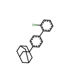 Clc1ccccc1-c1ccc(C23CC4CC(CC(C4)C2)C3)cc1